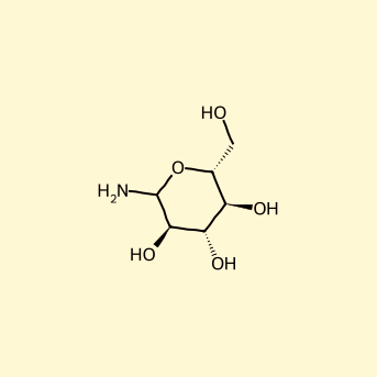 NC1O[C@H](CO)[C@@H](O)[C@H](O)[C@H]1O